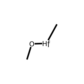 C[O][Hf][CH3]